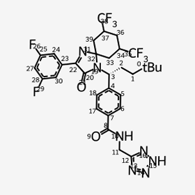 CC(C)(C)CC[C@H](c1ccc(C(=O)NCc2nn[nH]n2)cc1)N1C(=O)C(c2cc(F)cc(F)c2)=NC12CC(C(F)(F)F)CC(C(F)(F)F)C2